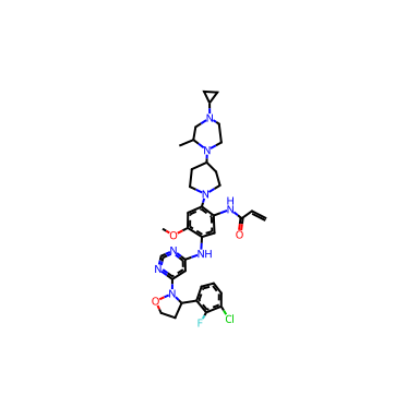 C=CC(=O)Nc1cc(Nc2cc(N3OCCC3c3cccc(Cl)c3F)ncn2)c(OC)cc1N1CCC(N2CCN(C3CC3)CC2C)CC1